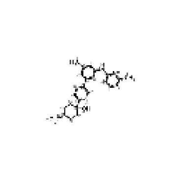 Cc1cc(Nc2nccc(C)n2)cc(-c2ccc([C@]3(O)CC[C@H](C(=O)O)CC3)nc2)c1